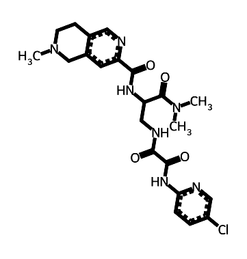 CN1CCc2cnc(C(=O)NC(CNC(=O)C(=O)Nc3ccc(Cl)cn3)C(=O)N(C)C)cc2C1